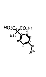 CCOC(=O)C(CC)(C(=O)O)c1ccc(CC(C)C)cc1